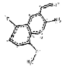 COc1ccc(F)c2cc(C=O)c(N)nc12